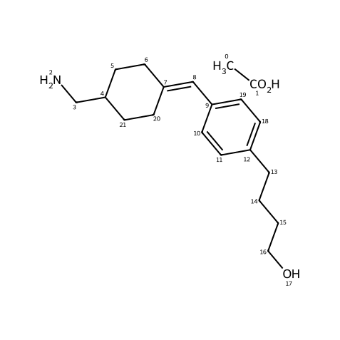 CC(=O)O.NCC1CCC(=Cc2ccc(CCCCO)cc2)CC1